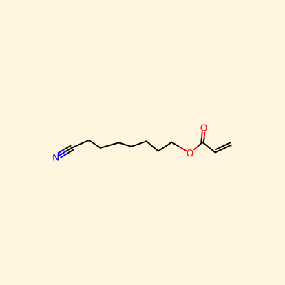 C=CC(=O)OCCCCCCCC#N